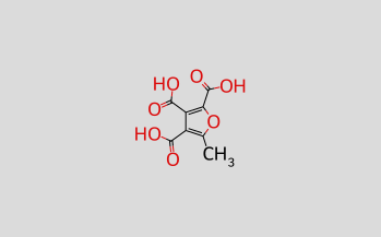 Cc1oc(C(=O)O)c(C(=O)O)c1C(=O)O